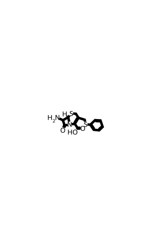 NC1C(=O)N2C(C(=O)O)=C(CSc3ccccc3)CS[C@H]12